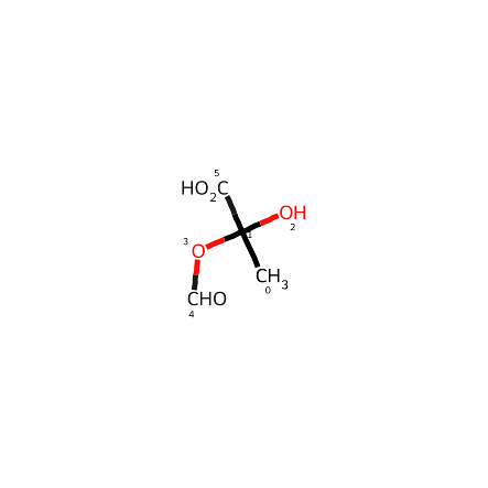 CC(O)(OC=O)C(=O)O